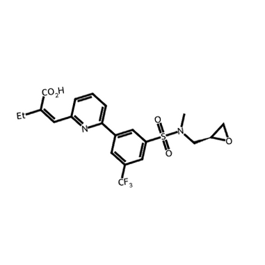 CCC(=Cc1cccc(-c2cc(C(F)(F)F)cc(S(=O)(=O)N(C)C[C@H]3CO3)c2)n1)C(=O)O